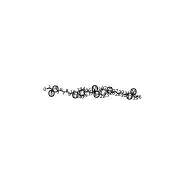 C=CC(=O)OCCCCCCOc1ccc(/C=C/C(=O)OC2CCC(OCCCCCCOC(=O)C=C)CC2)cc1